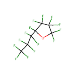 FC(F)(F)C(F)(F)C(F)(F)C1(F)OC(F)(F)C(F)(F)C1(F)F